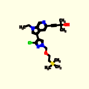 CCn1cc(-c2cn(COCCS(C)(C)C)nc2Cl)c2cc(C#CC(C)(C)O)ncc21